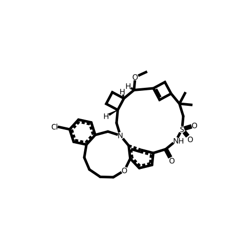 CO[C@@H]1C2=CC(C2)C(C)(C)CS(=O)(=O)NC(=O)c2ccc3c(c2)N(Cc2ccc(Cl)cc2CCCCO3)C[C@@H]2CC[C@H]21